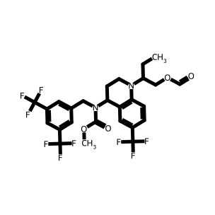 CCC(COC=O)N1CCC(N(Cc2cc(C(F)(F)F)cc(C(F)(F)F)c2)C(=O)OC)c2cc(C(F)(F)F)ccc21